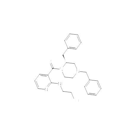 CC(C)CCNc1ncccc1C(=O)N1CCN(Cc2ccccc2)C[C@@H]1Cc1ccccc1